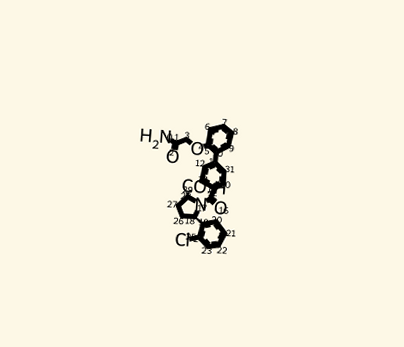 NC(=O)COc1ccccc1-c1ccc(C(=O)N2[C@@H](c3ccccc3Cl)CC[C@H]2C(=O)O)cc1